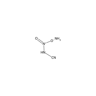 N.N#CN[N+](=O)[O-]